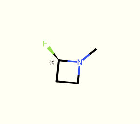 CN1CC[C@H]1F